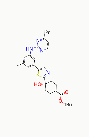 Cc1cc(Nc2nccc(C(C)C)n2)cc(-c2cnc([C@]3(O)CC[C@@H](C(=O)OC(C)(C)C)CC3)s2)c1